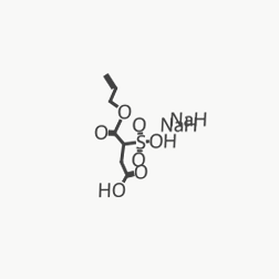 C=CCOC(=O)C(CC(=O)O)S(=O)(=O)O.[NaH].[NaH]